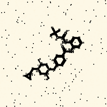 C[C@@H]1CN(Cc2ccc(C(=O)Nc3ccccc3NC(=O)OC(C)(C)C)cc2)[C@@H](C)CN1CC1CC1